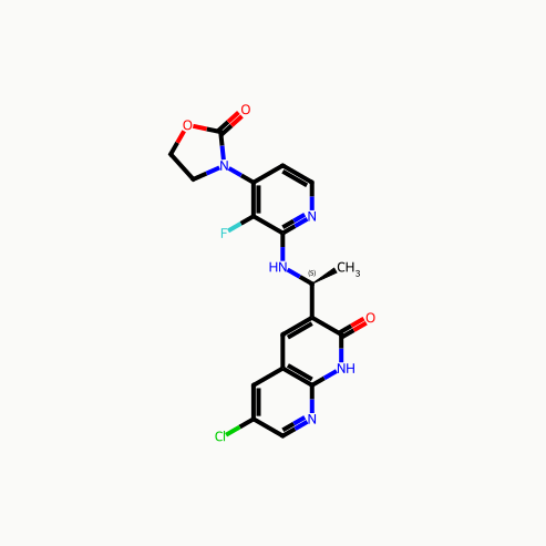 C[C@H](Nc1nccc(N2CCOC2=O)c1F)c1cc2cc(Cl)cnc2[nH]c1=O